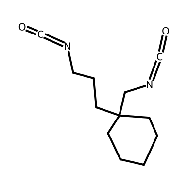 O=C=NCCCC1(CN=C=O)CCCCC1